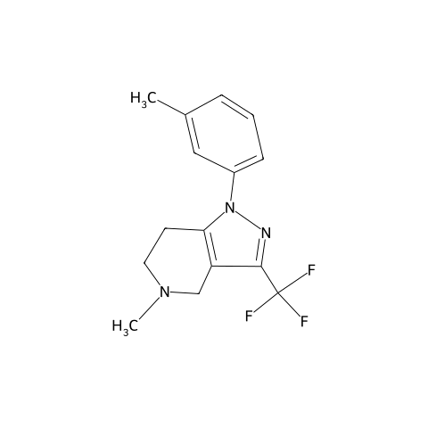 Cc1cccc(-n2nc(C(F)(F)F)c3c2CCN(C)C3)c1